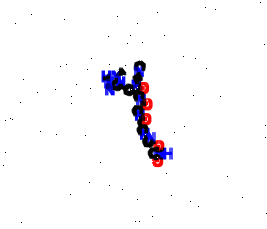 CC(C)n1cnc2cc(-c3ccc4c(c3)N(C3CC(N5CCCCC5)C3)C(=O)C43CCN(C(=O)[C@@H]4CCCN(C(=O)CC5CCN(c6ccc([C@H]7CCC(=O)NC7=O)cn6)CC5)C4)CC3)nc(NC3CC3)c21